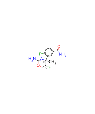 C[C@]1(c2cc(C(N)=O)ccc2F)N=C(N)OC[C@H]1F